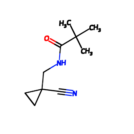 CC(C)(C)C(=O)NCC1(C#N)CC1